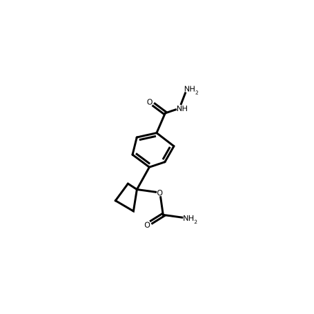 NNC(=O)c1ccc(C2(OC(N)=O)CCC2)cc1